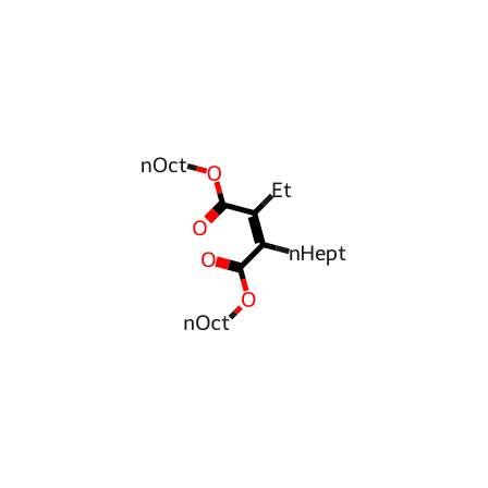 CCCCCCCCOC(=O)/C(CC)=C(/CCCCCCC)C(=O)OCCCCCCCC